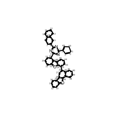 C1=CC(c2nc(-c3ccc4ccccc4c3)nc(-c3cccc4oc5c(-c6cc7c8ccccc8oc7c7ccccc67)cccc5c34)n2)=CCC1